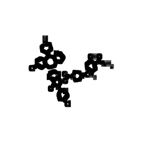 CN1CCN(C(=O)OC2c3nccnc3C(=O)N2c2ccc(Cl)cn2)CC1.Clc1ccc2c(c1)CCc1cccnc1C2=C1CCNCC1.NC(=O)c1ccccc1O